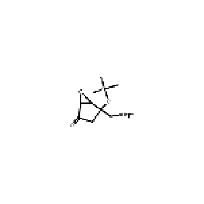 CCCCCCCCC1(O[Si](C)(C)C)CC(=O)C2OC21